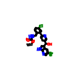 CC(C)(C)OC(=O)NCc1ccc(Cl)cc1-c1ccc(C(O)c2c[nH]c3ncc(Br)cc23)cn1